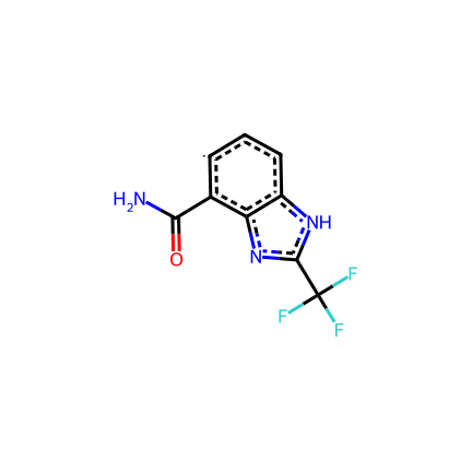 NC(=O)c1[c]ccc2[nH]c(C(F)(F)F)nc12